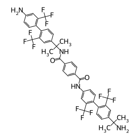 CC(C)(N)c1ccc(-c2ccc(NC(=O)c3ccc(C(=O)NC(C)(C)c4ccc(-c5ccc(N)cc5C(F)(F)F)c(C(F)(F)F)c4)cc3)cc2C(F)(F)F)c(C(F)(F)F)c1